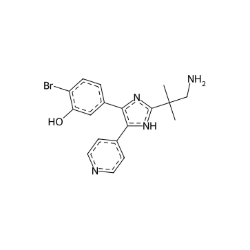 CC(C)(CN)c1nc(-c2ccc(Br)c(O)c2)c(-c2ccncc2)[nH]1